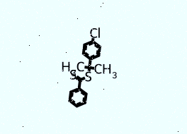 CC(C)(SC(=S)c1ccccc1)c1ccc(Cl)cc1